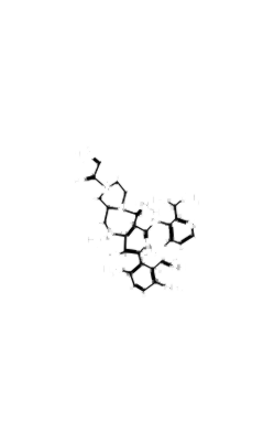 C=CC(=O)N1CCN2C(=N)c3c(Nc4c(C)ccnc4C(C)O)nc(-c4c(C)ccc(N)c4C=N)c(F)c3N(C)CC2C1